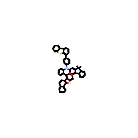 CC1(C)c2ccccc2-c2ccc(N(c3ccc(-c4cccc5c4sc4ccccc45)cc3)c3ccccc3-c3cccc4oc5c6ccccc6ccc5c34)cc21